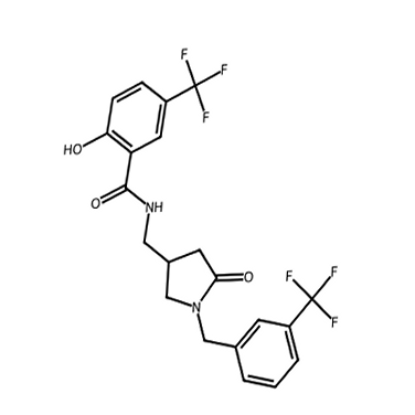 O=C(NCC1CC(=O)N(Cc2cccc(C(F)(F)F)c2)C1)c1cc(C(F)(F)F)ccc1O